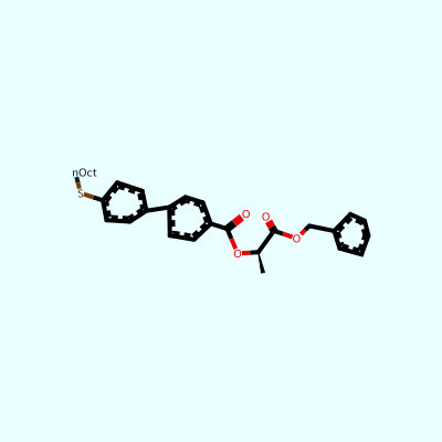 CCCCCCCCSc1ccc(-c2ccc(C(=O)O[C@H](C)C(=O)OCc3ccccc3)cc2)cc1